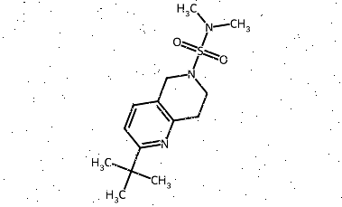 CN(C)S(=O)(=O)N1CCc2nc(C(C)(C)C)ccc2C1